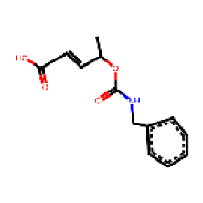 CC(/C=C/C(=O)O)OC(=O)NCc1ccccc1